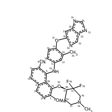 COc1ncc2ncc(C#N)c(Nc3ccc(Oc4cc5ncnn5cn4)c(C)c3)c2c1O[C@@H]1CCN(C)CC1(F)F